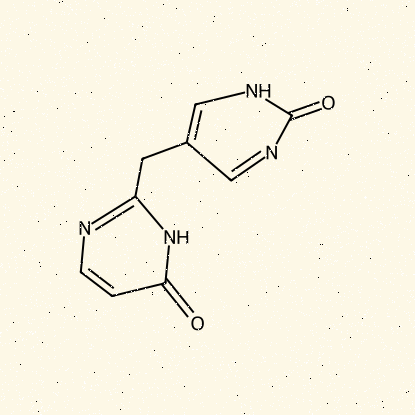 O=c1ccnc(Cc2cnc(=O)[nH]c2)[nH]1